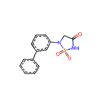 O=C1CN(c2cccc(-c3ccccc3)c2)S(=O)(=O)N1